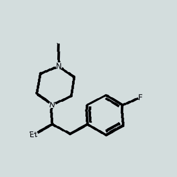 CCC(Cc1ccc(F)cc1)N1CCN(C)CC1